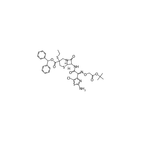 CCSC1(C(=O)OC(c2ccccc2)c2ccccc2)CS[C@@H]2C(NC(=O)C(=NOCC(=O)OC(C)(C)C)c3nc(N)sc3Cl)C(=O)N2C1